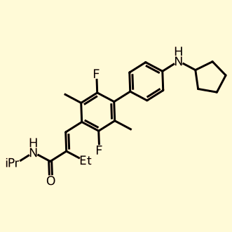 CC/C(=C\c1c(C)c(F)c(-c2ccc(NC3CCCC3)cc2)c(C)c1F)C(=O)NC(C)C